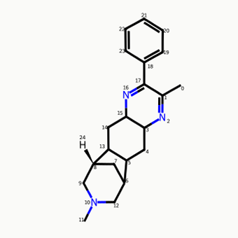 CC1=NC2CC3C4C[C@H](CN(C)C4)C3CC2N=C1c1ccccc1